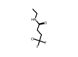 CCNC(=O)CCC(F)(F)Cl